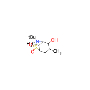 CC1CC2C(C)C(C1O)N(C(C)(C)C)S2(=O)=O